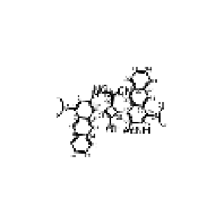 CC(=O)Nc1cc(N(C)C)c2cc3ccccc3cc2c1C1=C(O)C(c2c(NC(C)=O)cc(N(C)C)c3cc4ccccc4cc23)C1=C(C#N)C#N